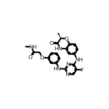 CNC(=O)COc1cccc(Nc2ncc(F)c(Nc3ccc4c(c3)NC(=O)[C@@H](C)O4)n2)c1